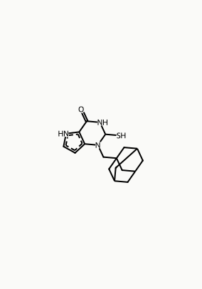 O=C1NC(S)N(CC23CC4CC(CC(C4)C2)C3)c2cc[nH]c21